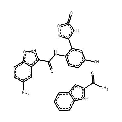 N#Cc1ccc(NC(=O)c2noc3ccc([N+](=O)[O-])cc23)c(-c2noc(=O)[nH]2)c1.NC(=O)c1cc2ccccc2[nH]1